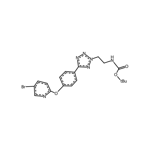 CC(C)(C)OC(=O)NCCn1nnc(-c2ccc(Oc3ccc(Br)cn3)cc2)n1